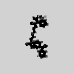 C[C@@H](C(=O)O)N(C(=O)CCCOCCn1c(=O)sc2cc(C(=O)c3ccccc3)ccc21)c1ccccc1